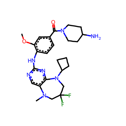 COc1cc(C(=O)N2CCC(N)CC2)ccc1Nc1ncc2c(n1)N(C1CCC1)CC(F)(F)CN2C